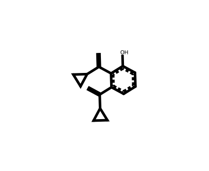 C=C(c1cccc(O)c1C(=C)C1CC1)C1CC1